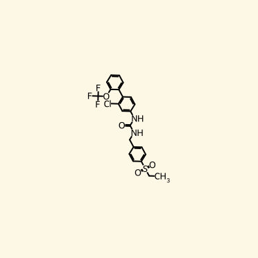 CCS(=O)(=O)c1ccc(CNC(=O)Nc2ccc(-c3ccccc3OC(F)(F)F)c(Cl)c2)cc1